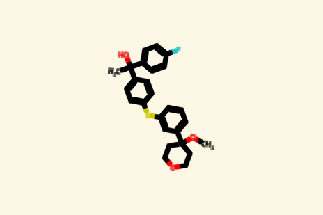 COC1(c2cccc(Sc3ccc(C(C)(O)c4ccc(F)cc4)cc3)c2)CCOCC1